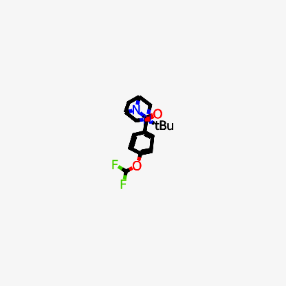 CC(C)(C)N1CC2CC(C1)N2C(=O)c1ccc(OC(F)F)cc1